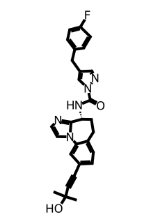 CC(C)(O)C#Cc1ccc2c(c1)-n1ccnc1[C@H](NC(=O)n1cc(Cc3ccc(F)cc3)cn1)CC2